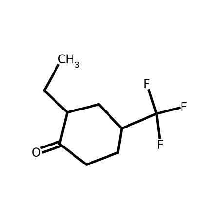 CCC1CC(C(F)(F)F)CCC1=O